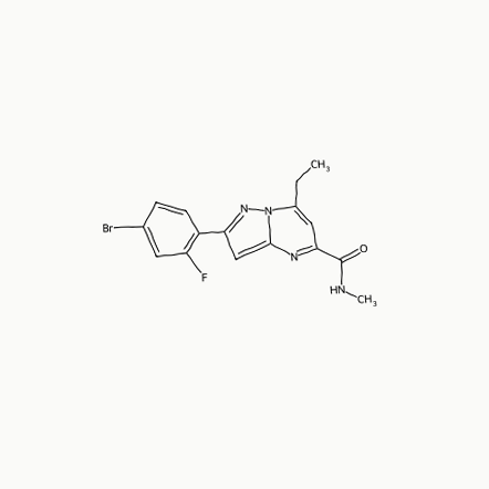 CCc1cc(C(=O)NC)nc2cc(-c3ccc(Br)cc3F)nn12